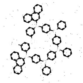 Cc1cccc(N(c2ccc(N(c3ccccc3)c3ccc(N(c4ccccc4)c4ccc(N(c5ccccc5)c5ccc(N(c6cccc(C)c6)c6cc7ccccc7c7ccccc67)cc5)cc4)cc3)cc2)c2cc3ccccc3c3ccccc23)c1